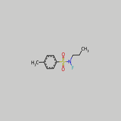 CCCN(F)S(=O)(=O)c1ccc(C)cc1